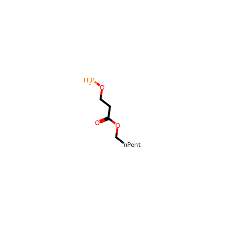 CCCCCCOC(=O)CCOP